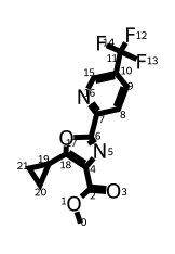 COC(=O)c1nc(-c2ccc(C(F)(F)F)cn2)oc1C1CC1